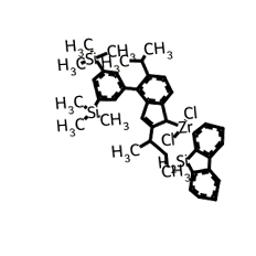 CCC(C)C1=Cc2c(ccc(C(C)C)c2-c2cc([Si](C)(C)C)cc([Si](C)(C)C)c2)[CH]1[Zr]([Cl])([Cl])[c]1cccc2c1[SiH2]c1ccccc1-2